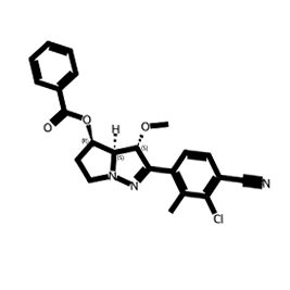 CO[C@@H]1C(c2ccc(C#N)c(Cl)c2C)=NN2CC[C@@H](OC(=O)c3ccccc3)[C@@H]12